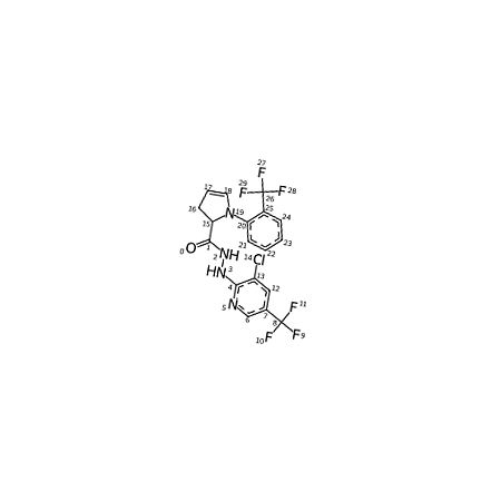 O=C(NNc1ncc(C(F)(F)F)cc1Cl)C1CC=CN1c1ccccc1C(F)(F)F